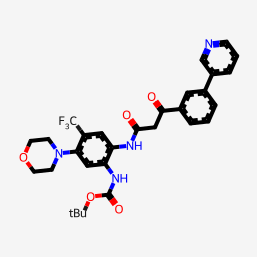 CC(C)(C)OC(=O)Nc1cc(N2CCOCC2)c(C(F)(F)F)cc1NC(=O)CC(=O)c1cccc(-c2cccnc2)c1